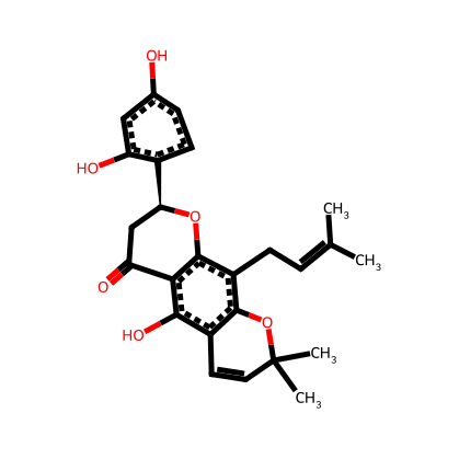 CC(C)=CCc1c2c(c(O)c3c1O[C@H](c1ccc(O)cc1O)CC3=O)C=CC(C)(C)O2